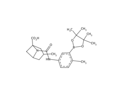 Cc1ccc(NC(=O)N2C3CC(C)CC2(C(=O)O)C3)cc1B1OC(C)(C)C(C)(C)O1